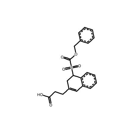 O=C(O)CCC1=Cc2ccccc2C(S(=O)(=O)C(=O)OCc2ccccc2)C1